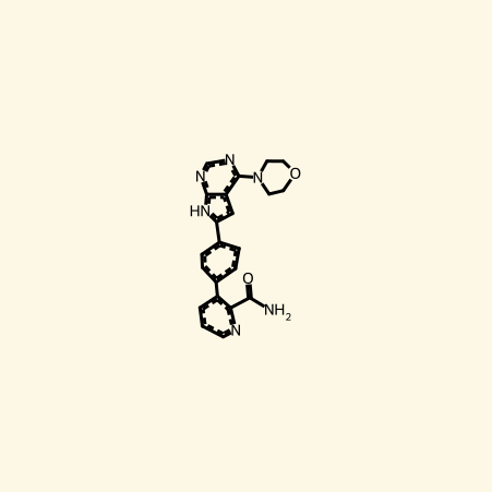 NC(=O)c1ncccc1-c1ccc(-c2cc3c(N4CCOCC4)ncnc3[nH]2)cc1